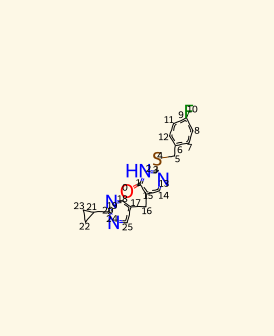 O=c1[nH]c(SCc2ccc(F)cc2)ncc1Cc1cnc(C2CC2)nc1